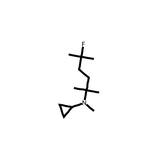 CN(C1CC1)C(C)(C)CCC(C)(C)F